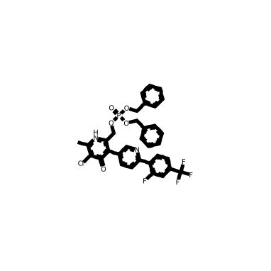 Cc1[nH]c(COP(=O)(OCc2ccccc2)OCc2ccccc2)c(-c2ccc(-c3ccc(C(F)(F)F)cc3F)nc2)c(=O)c1Cl